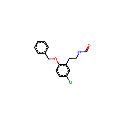 O=[C]NCCc1cc(Cl)ccc1OCc1ccccc1